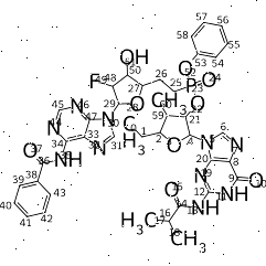 CCC1OC(n2cnc3c(=O)[nH]c(NC(=O)C(C)C)nc32)C(OP(=O)(CCC2OC(n3cnc4c(NC(=O)c5ccccc5)ncnc43)C(F)C2O)Oc2ccccc2)C1C